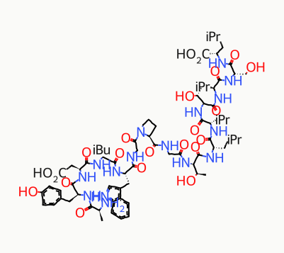 CC[C@H](C)[C@H](NC(=O)[C@H](CC(=O)O)NC(=O)[C@H](Cc1ccc(O)cc1)NC(=O)[C@H](C)N)C(=O)N[C@@H](Cc1c[nH]c2ccccc12)C(=O)NCC(=O)N1CCC[C@H]1C(=O)NCC(=O)N[C@H](C(=O)N[C@@H](CC(C)C)C(=O)N[C@H](C(=O)N[C@H](C(=O)N[C@H](C(=O)N[C@@H](CO)C(=O)N[C@@H](CC(C)C)C(=O)O)C(C)C)[C@@H](C)O)C(C)C)[C@@H](C)O